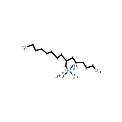 CCCCCCCCC(CCCCCC)C[N+](C)(C)C.[I-]